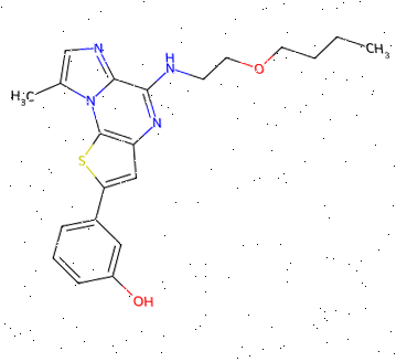 CCCCOCCNc1nc2cc(-c3cccc(O)c3)sc2n2c(C)cnc12